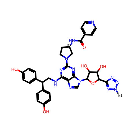 CCn1nnc(C2OC(n3cnc4c(NCC(c5ccc(O)cc5)c5ccc(O)cc5)nc(N5CC[C@@H](NC(=O)c6ccncc6)C5)nc43)C(O)C2O)n1